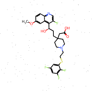 COc1ccc2ncc(F)c([C@H](O)CCC3(CC(=O)O)CCN(CCSc4cc(F)cc(F)c4F)CC3)c2c1